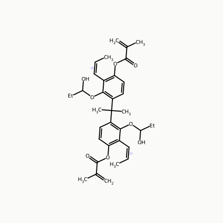 C=C(C)C(=O)Oc1ccc(C(C)(C)c2ccc(OC(=O)C(=C)C)c(/C=C\C)c2OC(O)CC)c(OC(O)CC)c1/C=C\C